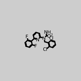 NC(=O)N(Cc1c(Cl)cccc1Cl)c1cccc(-c2c(F)cccc2F)n1